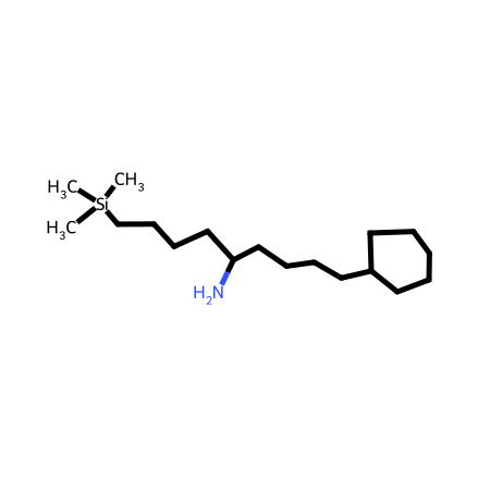 C[Si](C)(C)CCCCC(N)CCCCC1CCCCC1